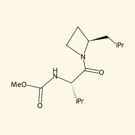 COC(=O)N[C@H](C(=O)N1CC[C@H]1CC(C)C)C(C)C